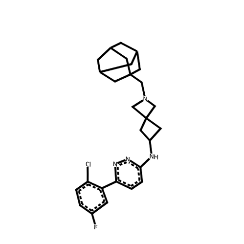 Fc1ccc(Cl)c(-c2ccc(NC3CC4(C3)CN(CC35CC6CC(CC(C6)C3)C5)C4)nn2)c1